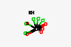 [KH].[O]=[Os](=[O])(=[O])(=[O])([Cl])([Cl])([Cl])([Cl])([Cl])[Cl]